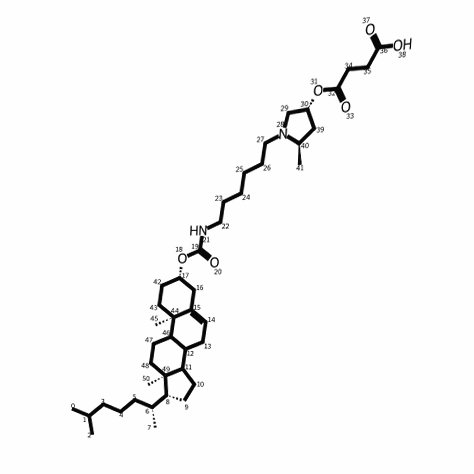 CC(C)CCC[C@@H](C)[C@H]1CCC2C3CC=C4C[C@@H](OC(=O)NCCCCCCN5C[C@H](OC(=O)CCC(=O)O)C[C@H]5C)CC[C@]4(C)C3CC[C@@]21C